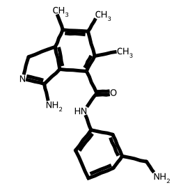 Cc1c(C)c2c(c(C(=O)Nc3cccc(CN)c3)c1C)C(N)=NC2